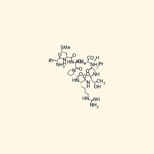 CSCC[C@H](NC(=O)[C@@H](N)C(C)C)C(=O)N[C@@H](C)C(=O)N1CCC[C@H]1C(=O)N[C@@H](CCCCNC(=N)N)C(=O)N[C@H](C(=O)N[C@@H](CC(C)C)C(=O)N[C@@H](CS)C(=O)O)[C@@H](C)O